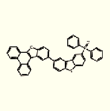 O=P(c1ccccc1)(c1ccccc1)c1ccc2sc3ccc(-c4ccc5oc6c7ccccc7c7ccccc7c6c5c4)cc3c2c1